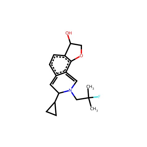 CC(C)(F)CN1C=c2c3c(ccc2=CC1C1CC1)C(O)CO3